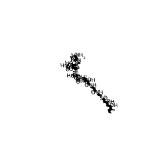 CC[C@H](C)[C@@H](O)C[C@H](O)CC(=O)SCCNC(=O)CCNC(=O)C(O)C(C)(C)COP(=O)(O)OP(=O)(O)OC[C@H]1O[C@@H](n2cnc3c(N)ncnc32)[C@H](O)[C@@H]1OP(=O)(O)O